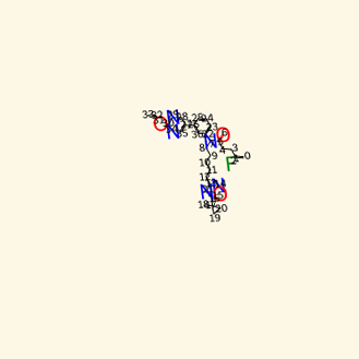 C=C(F)CCC(=O)N(CCCCCc1noc(C2(C)CC2)n1)c1cccc(-c2cnc(OCC)nc2)c1